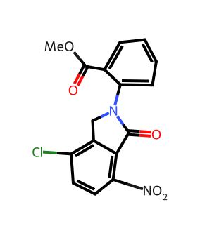 COC(=O)c1ccccc1N1Cc2c(Cl)ccc([N+](=O)[O-])c2C1=O